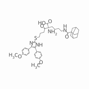 COc1ccc(-c2nc(SCCCC(=O)[C@](N)(CCCCNC(=O)C34CC5CC(CC(C5)C3)C4)C(=O)O)[nH]c2-c2ccc(OC)cc2)cc1